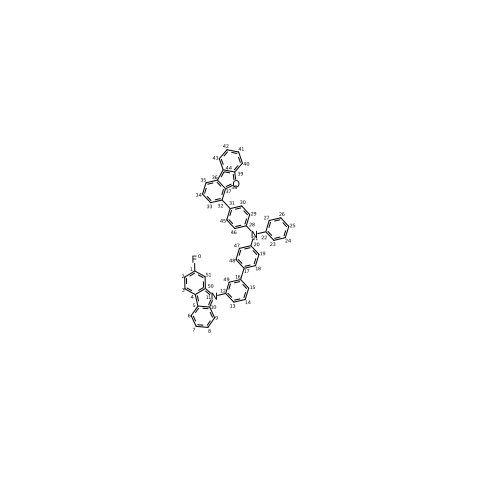 Fc1ccc2c3ccccc3n(-c3cccc(-c4ccc(N(c5ccccc5)c5ccc(-c6cccc7c6oc6ccccc67)cc5)cc4)c3)c2c1